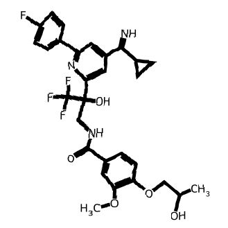 COc1cc(C(=O)NCC(O)(c2cc(C(=N)C3CC3)cc(-c3ccc(F)cc3)n2)C(F)(F)F)ccc1OCC(C)O